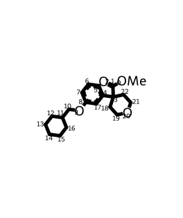 COC(=O)C1(c2cccc(OCC3CCCCC3)c2)CCOCC1